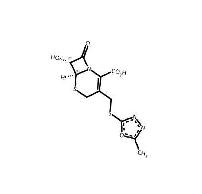 Cc1nnc(SCC2=C(C(=O)O)N3C(=O)[C@@H](O)[C@@H]3SC2)o1